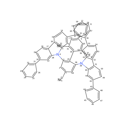 N#Cc1cc(-n2c3cc(-c4ccccc4)ccc3c3ccc(-c4ccccc4)cc32)c(-c2c(C#N)cccc2C(F)(F)F)c(-n2c3cc(-c4ccccc4)ccc3c3ccc(-c4ccccc4)cc32)c1